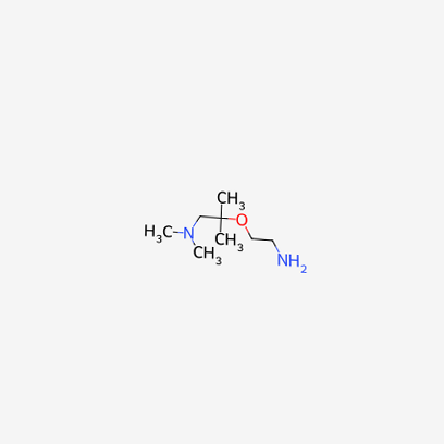 CN(C)CC(C)(C)OCCN